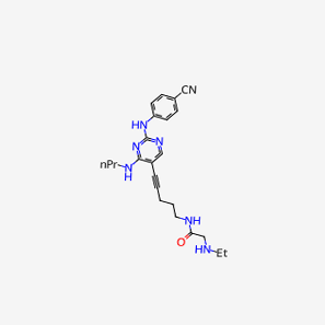 CCCNc1nc(Nc2ccc(C#N)cc2)ncc1C#CCCCNC(=O)CNCC